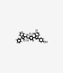 NC1NC=Nn2c(C3CCC(O)CC3)cc(-c3ccc(NC(=O)c4c5n(n(-c6ccccc6)c4=O)CCOC5)cc3F)c21